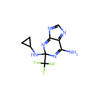 NC1=NC(NC2CC2)(C(F)(F)F)N=C2N=CN=C12